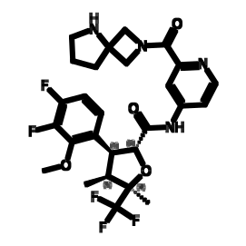 COc1c([C@H]2[C@H](C(=O)Nc3ccnc(C(=O)N4CC5(CCCN5)C4)c3)O[C@@](C)(C(F)(F)F)[C@H]2C)ccc(F)c1F